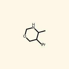 CC(C)C1COCNC1C